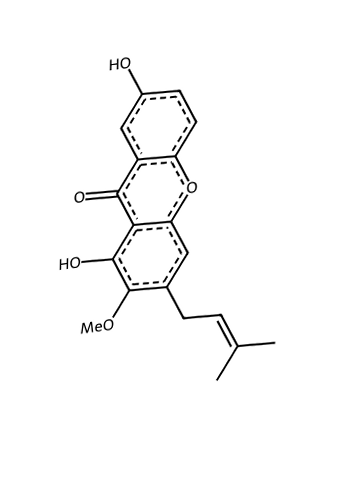 COc1c(CC=C(C)C)cc2oc3ccc(O)cc3c(=O)c2c1O